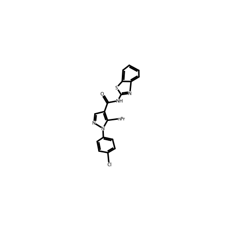 CCCc1c(C(=O)Nc2nc3ccccc3s2)cnn1-c1ccc(Cl)cc1